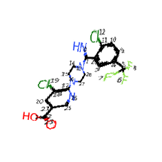 N=C(c1cc(C(F)(F)F)ccc1Cl)N1CCN(C2=C(Cl)CC(C(=O)O)C=N2)CC1